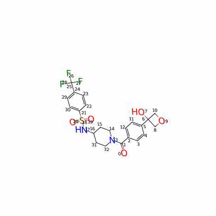 O=C(c1ccc(C2(O)COC2)cc1)N1CCC(NS(=O)(=O)c2ccc(C(F)(F)F)cc2)CC1